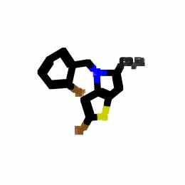 CCOC(=O)c1cc2sc(Br)cc2n1Cc1ccccc1Br